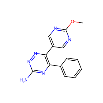 COc1ncc(-c2nnc(N)nc2-c2ccccc2)cn1